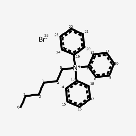 CCCCCC[N+](c1ccccc1)(c1ccccc1)c1ccccc1.[Br-]